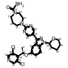 C[C@@H](Oc1ccc2c(c1)c(-c1cnc(N3CCCN(C(N)=O)CC3)nc1)nn2C1CCCCO1)c1c(Cl)cncc1Cl